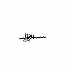 CCCCCCCCCCCCC(O)CNC(O)CCCC